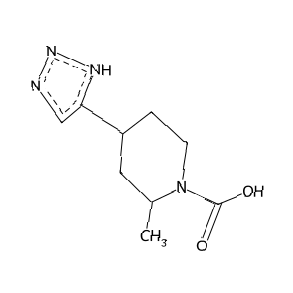 CC1CC(c2cnn[nH]2)CCN1C(=O)O